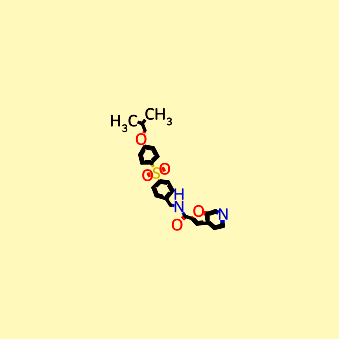 CC(C)COc1ccc(S(=O)(=O)c2ccc(CNC(=O)c3cc4ccncc4o3)cc2)cc1